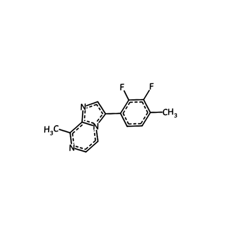 Cc1ccc(-c2cnc3c(C)nccn23)c(F)c1F